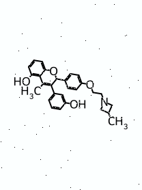 CC1=C(c2cccc(O)c2)C(c2ccc(OCCN3CC(C)C3)cc2)Oc2cccc(O)c21